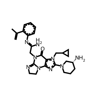 C=C(C)c1ccccc1/N=C(\N)CN1C(=O)c2c(nc(N3CCC[C@@H](N)C3)n2CC2CC2)N2CCN=C12